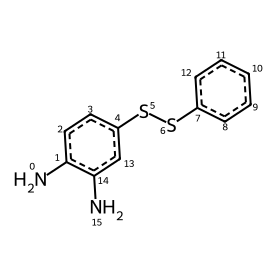 Nc1ccc(SSc2ccccc2)cc1N